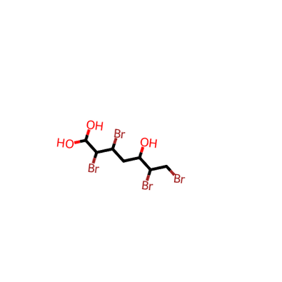 OC(O)C(Br)C(Br)CC(O)C(Br)CBr